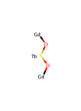 [Gd][O]S[O][Gd].[Tb]